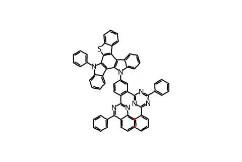 c1ccc(-c2nc(-c3ccccc3)nc(-c3cc(-n4c5ccccc5c5c6c7ccccc7sc6c6c(c7ccccc7n6-c6ccccc6)c54)ccc3-c3nc(-c4ccccc4)c4ccccc4n3)n2)cc1